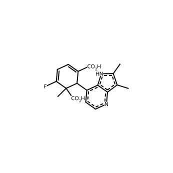 Cc1[nH]c2c(C3C(C(=O)O)=CC=C(F)C3(C)C(=O)O)ccnc2c1C